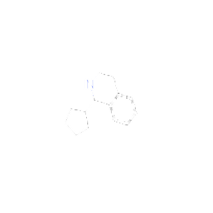 c1ccc2c(c1)CCNC2C1CCCC1